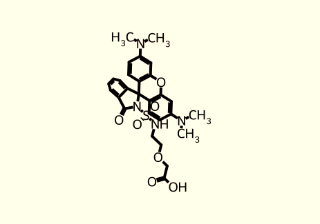 CN(C)c1ccc2c(c1)Oc1cc(N(C)C)ccc1C21c2ccccc2C(=O)N1S(=O)(=O)NCCOCC(=O)O